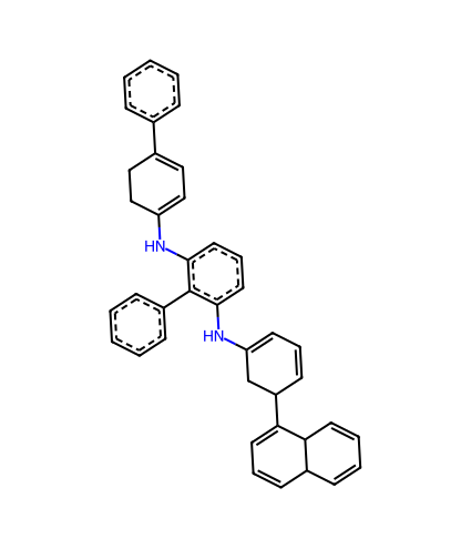 C1=CC(C2=CC=CC3C=CC=CC23)CC(Nc2cccc(NC3=CC=C(c4ccccc4)CC3)c2-c2ccccc2)=C1